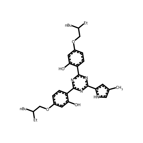 CCCCC(CC)COc1ccc(-c2nc(-c3cc(C)c[nH]3)nc(-c3ccc(OCC(CC)CCCC)cc3O)n2)c(O)c1